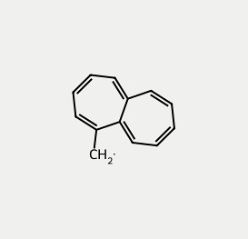 [CH2]C1=CC=CC=C2C=CC=CC=C12